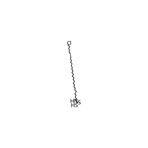 S=C(S)NCCCCCCCCCCCCCCCCCCCCCCCCCCCCCCCCCl